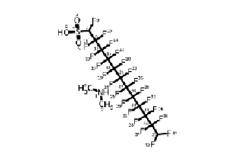 CNC.O=S(=O)(O)C(F)C(F)(F)C(F)(F)C(F)(F)C(F)(F)C(F)(F)C(F)(F)C(F)(F)C(F)(F)C(F)(F)C(F)(F)C(F)F